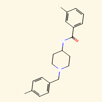 O=C(NC1CCN(Cc2ccc(C(F)(F)F)cc2)CC1)c1cccc([N+](=O)[O-])c1